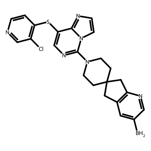 Bc1cnc2c(c1)CC1(CCN(c3ncc(Sc4ccncc4Cl)c4nccn34)CC1)C2